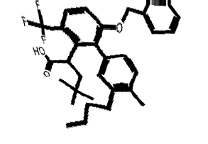 CCCCc1cc(-c2c(OCc3ccccc3)ccc(C(F)(F)F)c2C(CC(C)(C)C)C(=O)O)ccc1C